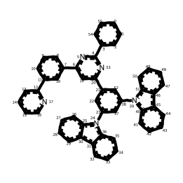 c1ccc(-c2nc(-c3cccc(-c4ccccn4)c3)cc(-c3cc(-n4c5ccccc5c5ccccc54)cc(-n4c5ccccc5c5ccccc54)c3)n2)cc1